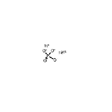 O=P([O-])([O-])[O-].[Fe+2].[H+].[H+]